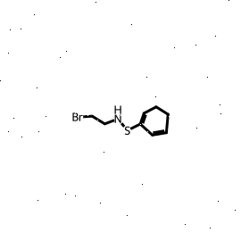 BrCCNSC1=CCCC=C1